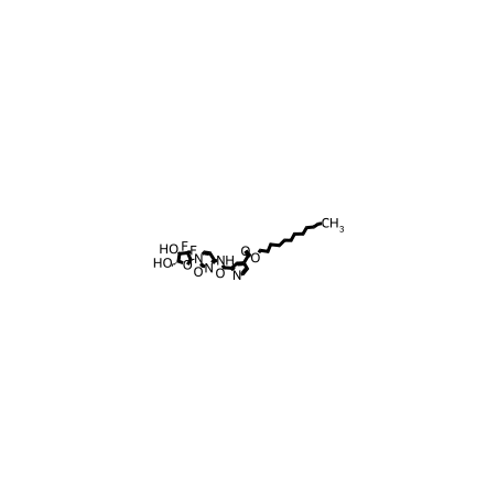 CCCCCCCCCCCCOC(=O)c1ccnc(C(=O)Nc2ccn([C@@H]3O[C@H](CO)[C@@H](O)C3(F)F)c(=O)n2)c1